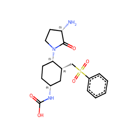 N[C@H]1CCN([C@H]2CC[C@@H](NC(=O)O)C[C@H]2CS(=O)(=O)c2ccccc2)C1=O